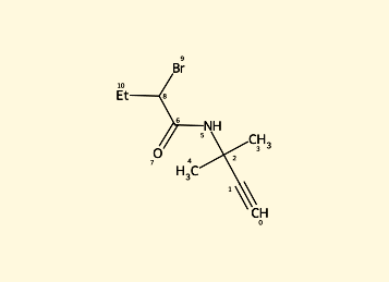 C#CC(C)(C)NC(=O)C(Br)CC